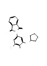 O=C1c2ccccc2C(=O)N1c1cc(F)c(Cl)c(OC2CCCC2)c1